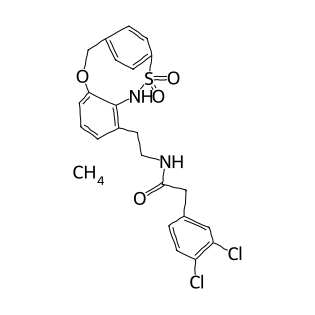 C.O=C(Cc1ccc(Cl)c(Cl)c1)NCCc1cccc2c1NS(=O)(=O)c1ccc(cc1)CO2